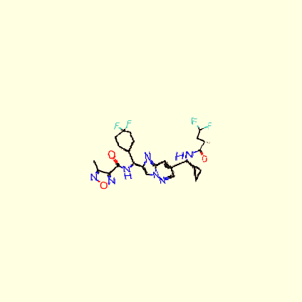 Cc1nonc1C(=O)N[C@H](c1cn2ncc([C@H](NC(=O)[C@@H](C)CC(F)F)C3CC3)cc2n1)C1CCC(F)(F)CC1